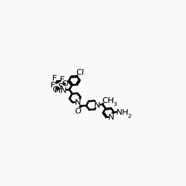 CC(c1ccnc(N)c1)N1CCC(C(=O)N2CCC(C(NS(=O)(=O)C(F)(F)F)c3ccc(Cl)cc3)CC2)CC1